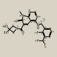 CCC1(O)CN(C(=O)c2cc3c(N[C@H](C)c4cccc(C(F)F)c4F)ncnc3n(C)c2=O)C1